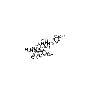 NOC(=O)c1ccc(NC(=S)NNCCc2ccc(O)cc2)cc1-c1c2ccc(=O)cc-2oc2cc(O)ccc12